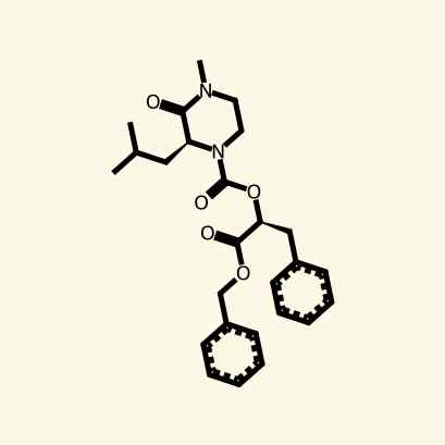 CC(C)C[C@H]1C(=O)N(C)CCN1C(=O)O[C@@H](Cc1ccccc1)C(=O)OCc1ccccc1